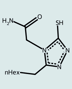 CCCCCCCc1nnc(S)n1CC(N)=O